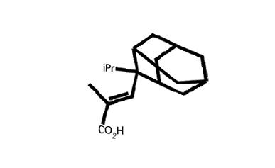 CC(=CC1(C(C)C)C2CC3CC(C2)CC1C3)C(=O)O